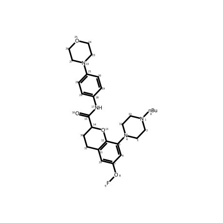 CCCCN1CCN(c2cc(OF)cc3c2OC(C(=O)Nc2ccc(N4CCOCC4)cc2)CC3)CC1